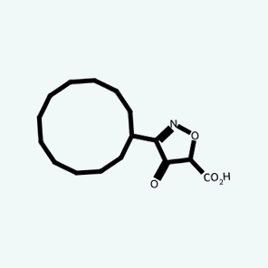 O=C(O)C1ON=C(C2CCCCCCCCCCC2)C1=O